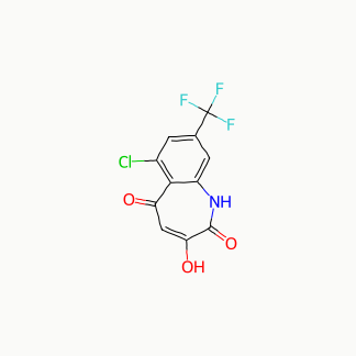 O=c1[nH]c2cc(C(F)(F)F)cc(Cl)c2c(=O)cc1O